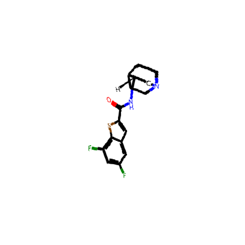 O=C(N[C@H]1CN2CCC1CC2)c1cc2cc(F)cc(F)c2s1